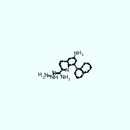 NN/N=C(\N)c1ccc2cc(N)cc(-c3cccc4ccccc34)c2n1